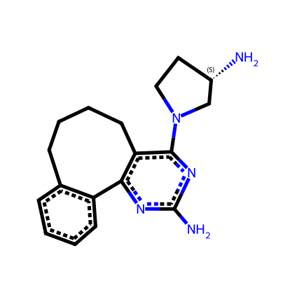 Nc1nc2c(c(N3CC[C@H](N)C3)n1)CCCCc1ccccc1-2